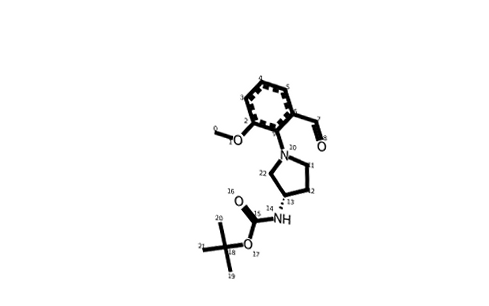 COc1cccc(C=O)c1N1CC[C@H](NC(=O)OC(C)(C)C)C1